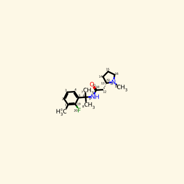 Cc1cccc(C(C)(C)NC(=O)C[C@@H]2CCCN2C)c1F